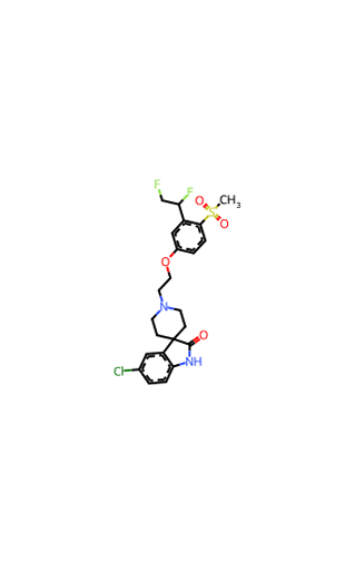 CS(=O)(=O)c1ccc(OCCN2CCC3(CC2)C(=O)Nc2ccc(Cl)cc23)cc1C(F)CF